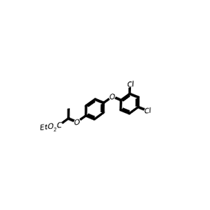 CCOC(=O)C(C)Oc1ccc(Oc2ccc(Cl)cc2Cl)cc1